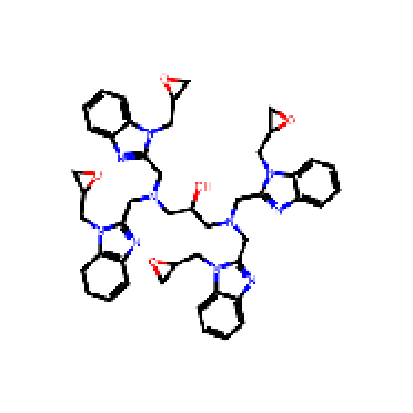 OC(CN(Cc1nc2c(n1CC1CO1)CCC=C2)Cc1nc2ccccc2n1CC1CO1)CN(Cc1nc2ccccc2n1CC1CO1)Cc1nc2ccccc2n1CC1CO1